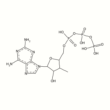 CC1C(COP(=O)(O)OP(=O)(O)OP(=O)(O)O)OC(n2cnc3c(N)nc(N)nc32)C1O